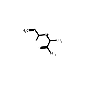 C=CC(F)NC(C)C(N)=O